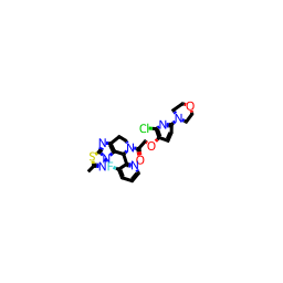 Cc1nn2c3c(nc2s1)CCN(C(=O)COc1ccc(N2CCOCC2)nc1Cl)C3c1ncccc1F